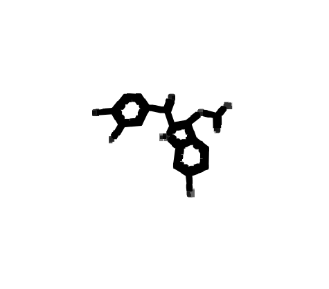 CCC(=O)Oc1c(C(=O)c2ccc(Cl)c(F)c2)[nH]c2cc(Cl)ccc12